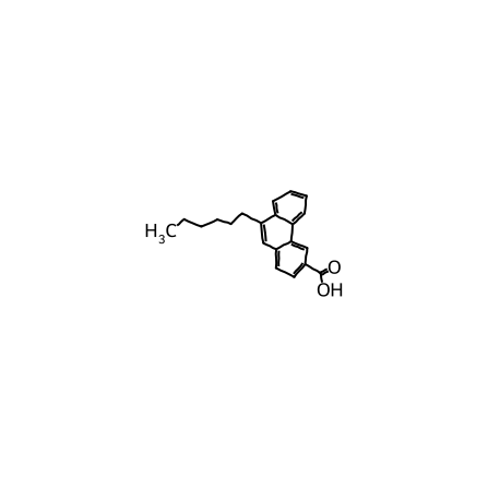 CCCCCCc1cc2ccc(C(=O)O)cc2c2ccccc12